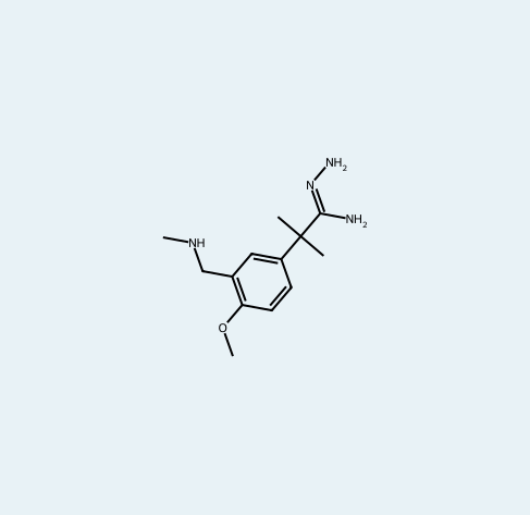 CNCc1cc(C(C)(C)/C(N)=N/N)ccc1OC